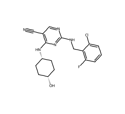 N#Cc1cnc(NCc2c(F)cccc2Cl)nc1N[C@H]1CC[C@@H](O)CC1